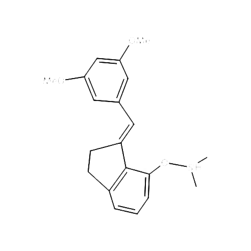 COc1cc(C=C2CCc3cccc(O[SiH](C)C)c32)cc(OC)c1